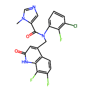 Cn1cncc1C(=O)N(Cc1cc(=O)[nH]c2c(F)c(F)ccc12)c1cccc(Cl)c1F